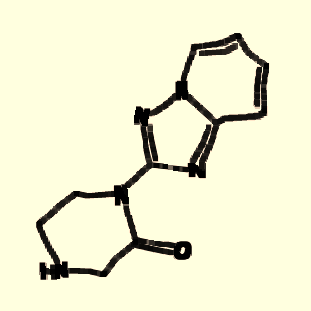 O=C1CNCCN1c1nc2ccccn2n1